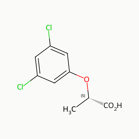 C[C@H](Oc1cc(Cl)cc(Cl)c1)C(=O)O